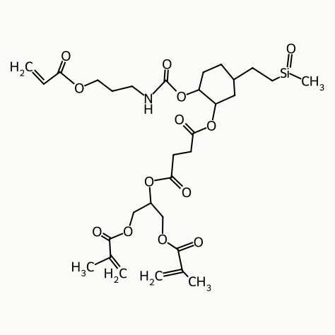 C=CC(=O)OCCCNC(=O)OC1CCC(CC[Si](C)=O)CC1OC(=O)CCC(=O)OC(COC(=O)C(=C)C)COC(=O)C(=C)C